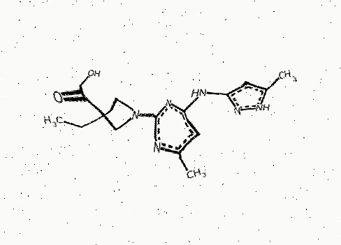 CCC1(C(=O)O)CN(c2nc(C)cc(Nc3cc(C)[nH]n3)n2)C1